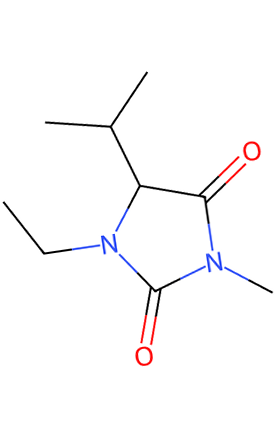 CCN1C(=O)N(C)C(=O)C1C(C)C